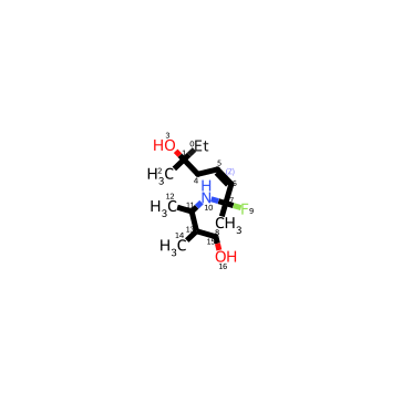 CCC(C)(O)C/C=C\C(C)(F)NC(C)C(C)CO